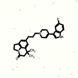 CC1(C)CC(=O)N2CCc3cc(CCCN4CC=C(c5c[nH]c6ccc(F)cc56)CC4)cc1c32